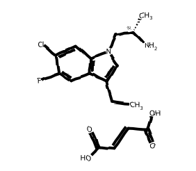 CCc1cn(C[C@H](C)N)c2cc(Cl)c(F)cc12.O=C(O)C=CC(=O)O